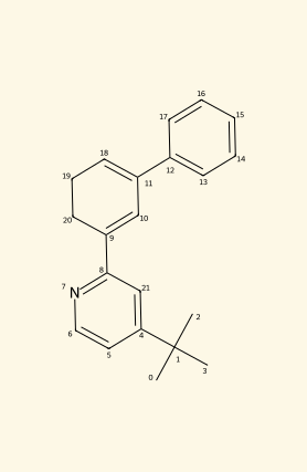 CC(C)(C)c1ccnc(C2=CC(c3ccccc3)=CCC2)c1